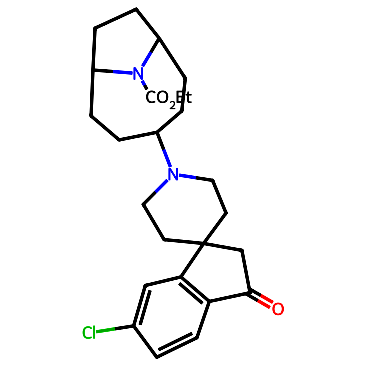 CCOC(=O)N1C2CCC(N3CCC4(CC3)CC(=O)c3ccc(Cl)cc34)CCC1CC2